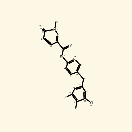 Cn1nc(C(=O)Nc2ccc(Cc3cc(F)c(F)c(Cl)c3)cn2)ccc1=O